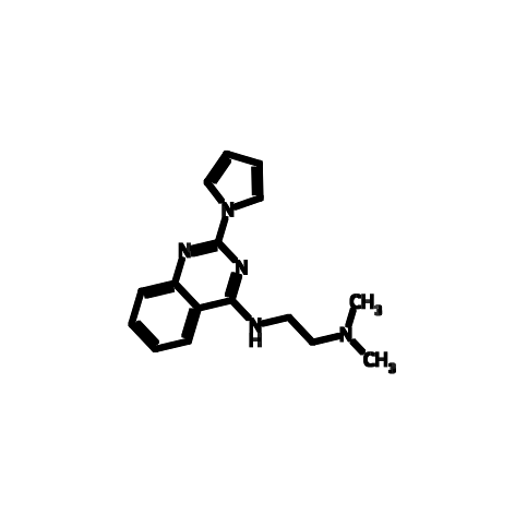 CN(C)CCNc1nc(-n2cccc2)nc2ccccc12